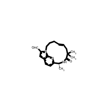 C[C@H]1NC(=O)C(C)(C)C/C=C/CCCn2c(C=O)cc3ccc1nc32